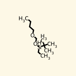 CCCCOCO[SiH](CC)C(C)(C)C